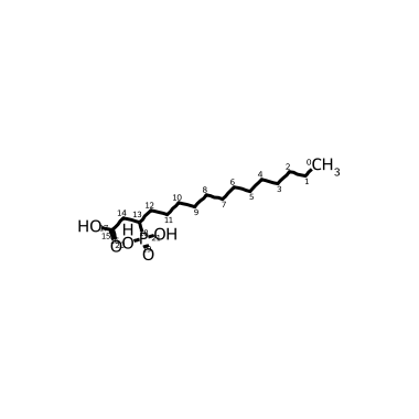 CCCCCCCCCCCCCC(CC(=O)O)P(=O)(O)O